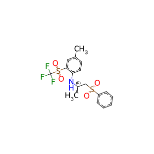 Cc1ccc(N[C@H](C)CS(=O)(=O)c2ccccc2)c(S(=O)(=O)C(F)(F)F)c1